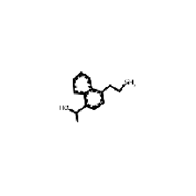 CC(O)c1ccc(CC[SiH3])c2ccccc12